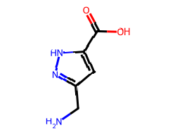 NCc1cc(C(=O)O)[nH]n1